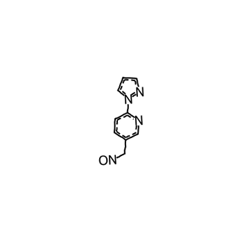 O=NCc1ccc(-n2cccn2)nc1